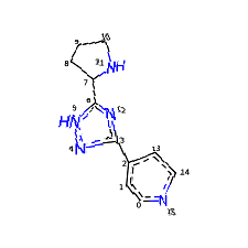 c1cc(-c2n[nH]c(C3CCCN3)n2)ccn1